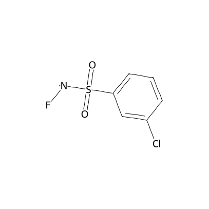 O=S(=O)([N]F)c1cccc(Cl)c1